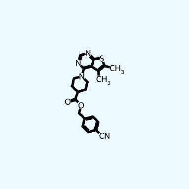 Cc1sc2ncnc(N3CCC(C(=O)OCc4ccc(C#N)cc4)CC3)c2c1C